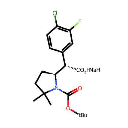 CC(C)(C)OC(=O)N1[C@H]([C@@H](C(=O)O)c2ccc(Cl)c(F)c2)CCC1(C)C.[NaH]